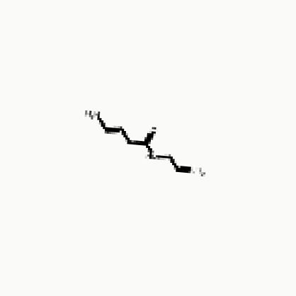 C=CCNC(=O)CC=CN